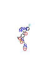 CS(=O)(=O)N(CCCN1CCOCC1)c1cc2oc(-c3ccc(F)cc3)c(-c3ncc[nH]3)c2cc1C1CC1